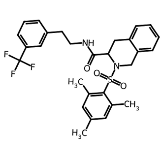 Cc1cc(C)c(S(=O)(=O)N2Cc3ccccc3CC2C(=O)NCCc2cccc(C(F)(F)F)c2)c(C)c1